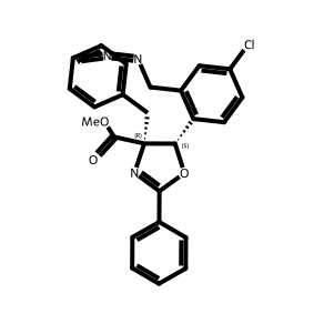 COC(=O)[C@]1(Cc2ccccc2)N=C(c2ccccc2)O[C@H]1c1ccc(Cl)cc1CN=[N+]=[N-]